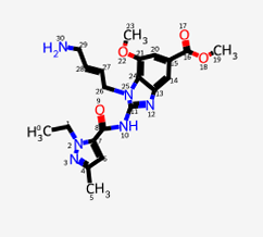 CCn1nc(C)cc1C(=O)Nc1nc2cc(C(=O)OC)cc(OC)c2n1CC=CCN